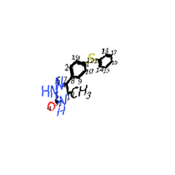 CC1NC(=O)NN=C1c1ccc(Sc2ccccc2)cc1